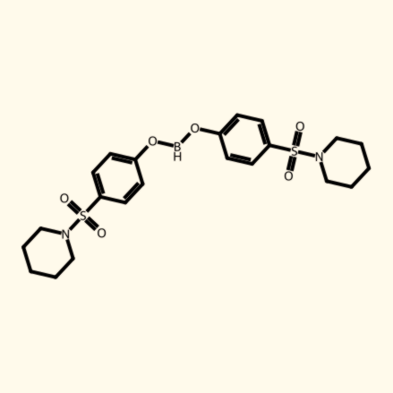 O=S(=O)(c1ccc(OBOc2ccc(S(=O)(=O)N3CCCCC3)cc2)cc1)N1CCCCC1